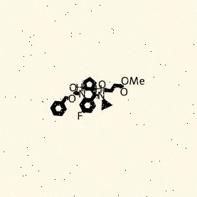 COC(=O)CCC(=O)N(C1CC1)[C@H]1c2ccc(F)cc2N(C(=O)OCc2ccccc2)[C@@H]2CCC[C@@H]21